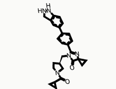 O=C(C1CC1)N1CC[C@@H](CN2C(=O)C3(CC3)N=C2c2ccc(-c3ccc4c(c3)CNN4)cc2)C1